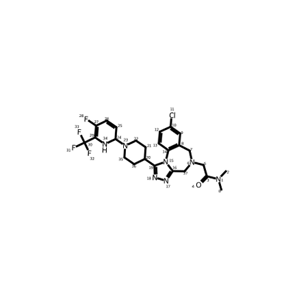 CN(C)C(=O)CN1Cc2cc(Cl)ccc2-n2c(nnc2C2CCN(C3C=CC(F)=C(C(F)(F)F)N3)CC2)C1